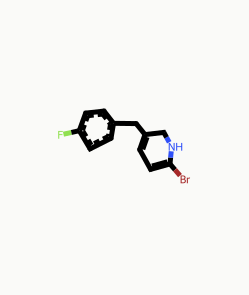 Fc1ccc(CC2=CC=C(Br)NC2)cc1